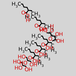 CCCCC(CC)C(=O)O.CCCCC(CC)C(=O)O.CCCCC(CC)C(=O)O.CCCCC(CC)C(=O)O.CCCCC(CC)C(=O)O.OCC(O)CO.OCC(O)CO.OC[C@@H](O)[C@H]1OC[C@H](O)[C@H]1O